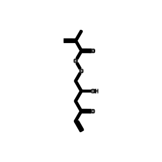 C=CC(=O)CC(O)COOC(=O)C(=C)C